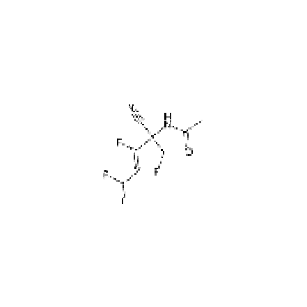 CC(=O)NC(C#N)(CF)C(F)=CC(F)F